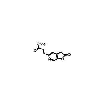 COC(=O)CCc1cc2c(cn1)OC(=O)C2